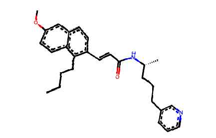 CCCCc1c(/C=C/C(=O)N[C@H](C)CCCc2cccnc2)ccc2cc(OC)ccc12